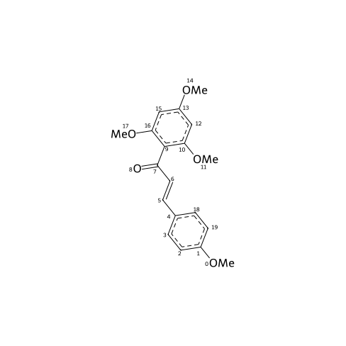 COc1ccc(C=CC(=O)c2c(OC)cc(OC)cc2OC)cc1